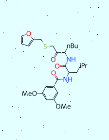 CCCCC(NC(=O)C(CC(C)C)NC(=O)c1cc(OC)cc(OC)c1)C(=O)CSCc1ccco1